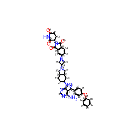 Nc1ncnc2c1c(-c1ccc(Oc3ccccc3)cc1)nn2C1CCC2CN(C3CN(c4ccc5c(c4)C(=O)N(C4CCC(=O)NC4=O)C5=O)C3)CC2C1